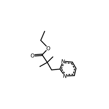 CCOC(=O)C(C)(C)Cc1ncccn1